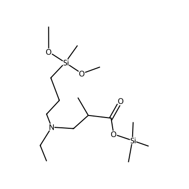 CCN(CCC[Si](C)(OC)OC)CC(C)C(=O)O[Si](C)(C)C